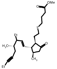 CCC#CC[C@H](C)C(/C=C/[C@H]1[C@H](C)CC(=O)[C@@H]1CCSCCCC(=O)OC)CC